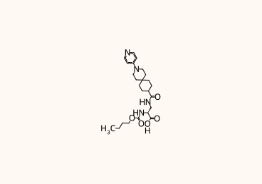 CCCCOC(=O)N[C@@H](CNC(=O)C1CCC2(CC1)CCN(c1ccncc1)CC2)C(=O)O